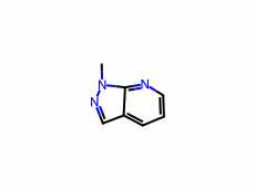 Cn1ncc2cccnc21